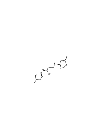 Cc1ccc(N=C(S)C=CSc2cccc(F)c2)cc1